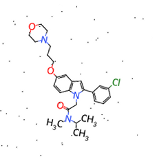 CC(C)N(C)C(=O)Cn1c(-c2cccc(Cl)c2)cc2cc(OCCCN3CCOCC3)ccc21